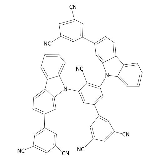 N#Cc1cc(C#N)cc(-c2cc(-n3c4ccccc4c4ccc(-c5cc(C#N)cc(C#N)c5)cc43)c(C#N)c(-n3c4ccccc4c4ccc(-c5cc(C#N)cc(C#N)c5)cc43)c2)c1